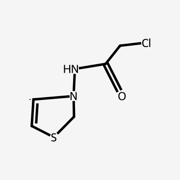 O=C(CCl)NN1[C]=CSC1